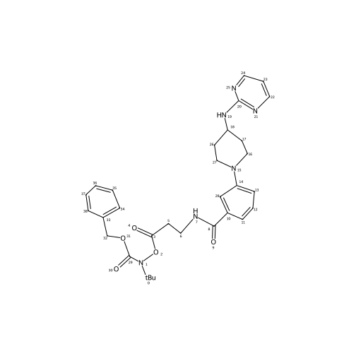 CC(C)(C)N(OC(=O)CCNC(=O)c1cccc(N2CCC(Nc3ncccn3)CC2)c1)C(=O)OCc1ccccc1